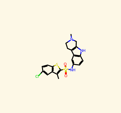 Cc1c(S(=O)(=O)Nc2ccc3[nH]c4c(c3c2)CCN(C)C4)sc2ccc(Cl)cc12